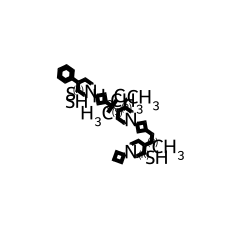 CC(C)[C@H]1CN(C2CC(C[C@@H](C)C3CCN(C4CCC4)C[C@@H]3S)C2)CC[C@@H]1C(C)(C)C1CC(N2CCC(c3ccccc3)[C@@H](SS)C2)C1